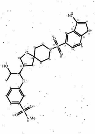 [CH2]C(O)C(Oc1cccc(S(=O)(=O)NC)c1)[C@H]1COC2(CCN(S(=O)(=O)c3cnc4[nH]cc(C#N)c4c3)CC2)C1